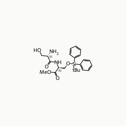 COC(=O)[C@H](CO[Si](c1ccccc1)(c1ccccc1)C(C)(C)C)NC(=O)[C@@H](N)CO